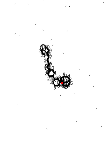 c1cc([C@@H]2CCC[C@]3(CC4CC5CC(C4)CC(C5)OO3)C2)ccc1OCCCN1CCOCC1